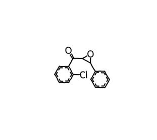 O=C(c1ccccc1Cl)C1OC1c1ccccc1